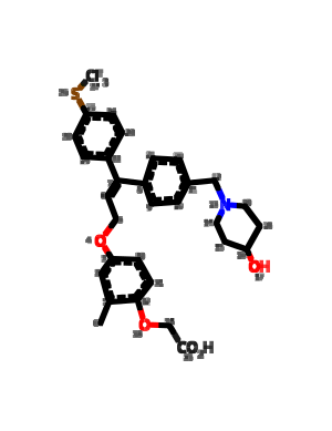 Cc1cc(OC/C=C(\c2ccc(CN3CCC(O)CC3)cc2)c2ccc(SC(F)(F)F)cc2)ccc1OCC(=O)O